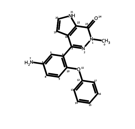 Cn1nc(-c2cc(N)ccc2Oc2ccccc2)c2cc[nH]c2c1=O